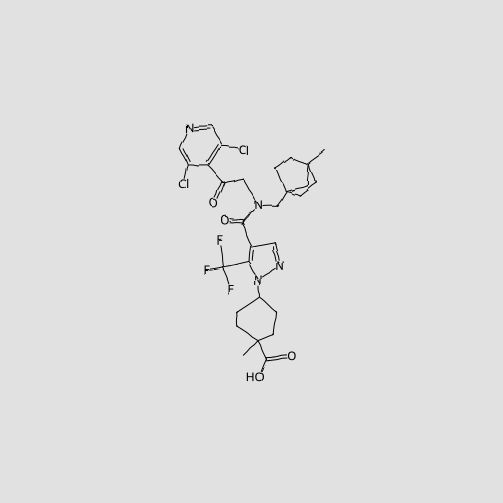 CC12CCC(CN(CC(=O)c3c(Cl)cncc3Cl)C(=O)c3cnn(C4CCC(C)(C(=O)O)CC4)c3C(F)(F)F)(CC1)C2